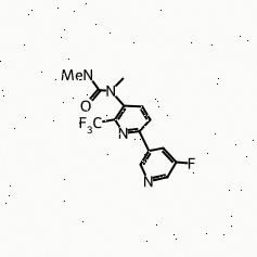 CNC(=O)N(C)c1ccc(-c2cncc(F)c2)nc1C(F)(F)F